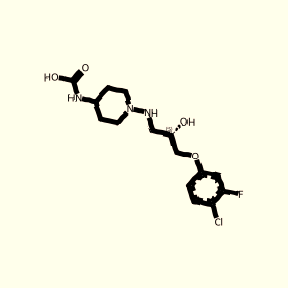 O=C(O)NC1CCN(NC[C@H](O)COc2ccc(Cl)c(F)c2)CC1